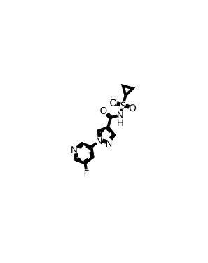 O=C(NS(=O)(=O)C1CC1)c1cnn(-c2cncc(F)c2)c1